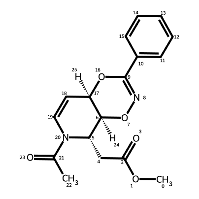 COC(=O)C[C@H]1[C@@H]2ON=C(c3ccccc3)O[C@@H]2C=CN1C(C)=O